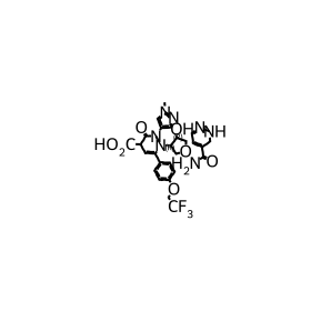 Cn1cc(N2C(=O)C(C(=O)O)C=C(c3ccc(OCC(F)(F)F)cc3)N2[C@@H]2COC[C@@H]2O)cn1.NC(=O)C1=CC=NNC1